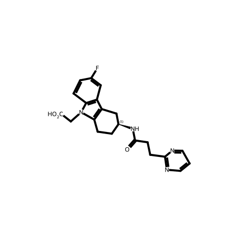 O=C(O)Cn1c2c(c3cc(F)ccc31)C[C@@H](NC(=O)CCc1ncccn1)CC2